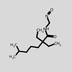 CCC(CC)(CCCC(C)C)C(=O)NCN=O